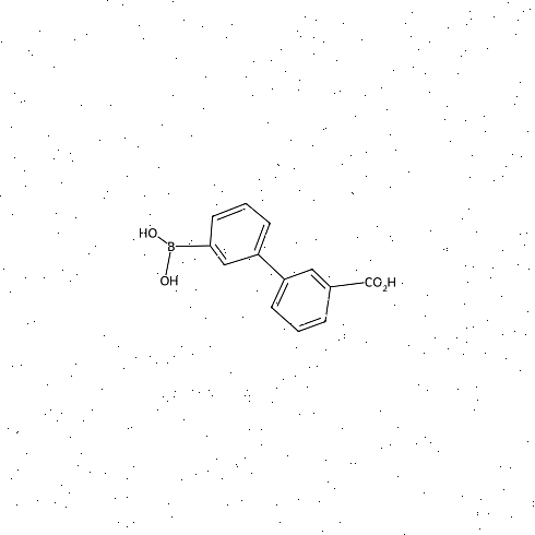 O=C(O)c1cccc(-c2cccc(B(O)O)c2)c1